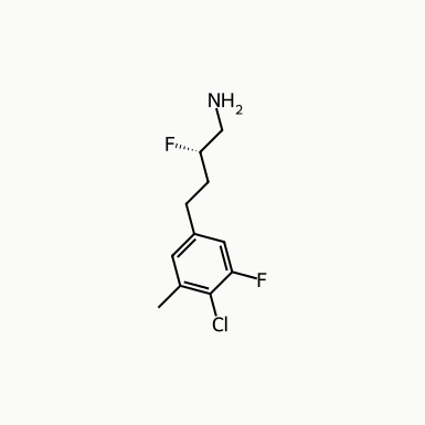 Cc1cc(CC[C@H](F)CN)cc(F)c1Cl